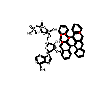 Nc1ncnc2c1ncn2[C@@H]1O[C@H](COP(=O)(O)OP(=O)(O)OP(=O)(O)O)[C@@H](O)[C@H]1O.c1ccc(P(c2ccccc2)c2ccc3ccccc3c2-c2c(P(c3ccccc3)c3ccccc3)ccc3ccccc23)cc1